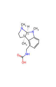 CN1CC[C@]2(C)c3c(CNC(=O)O)cccc3N(C)[C@H]12